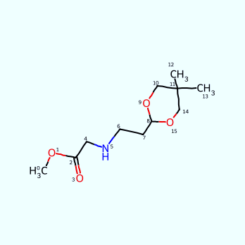 COC(=O)CNCCC1OCC(C)(C)CO1